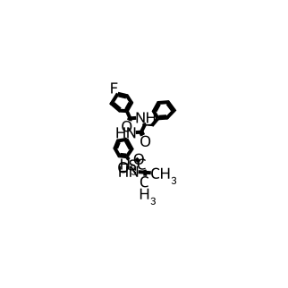 CC(C)(C)NS(=O)(=O)c1cccc(NC(=O)[C@H](Cc2ccccc2)NC(=O)c2ccc(F)cc2)c1